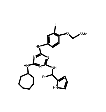 CCC(Nc1nc(Nc2ccc(OCSC)c(F)c2)nc(NC2CCCCCC2)n1)c1ccc[nH]1